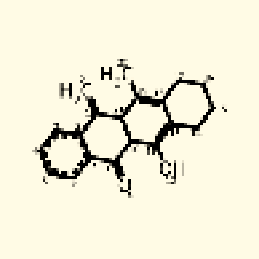 C=C1c2ccccc2C(=O)C2C(O)=C3CCCCC3=C(C)C12